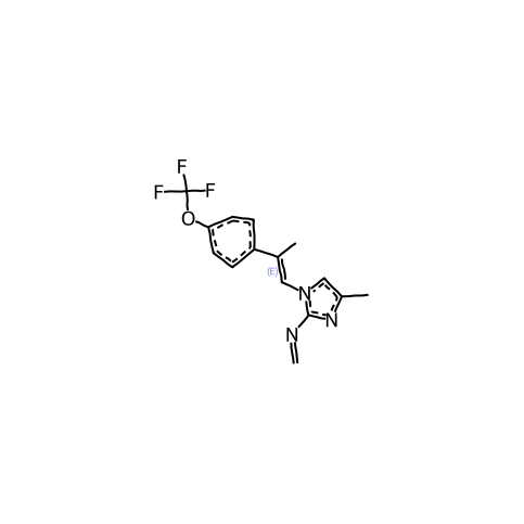 C=Nc1nc(C)cn1/C=C(\C)c1ccc(OC(F)(F)F)cc1